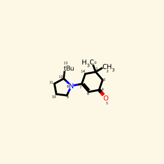 CC1(C)CC(=O)C=C(N2CCCC2C(C)(C)C)C1